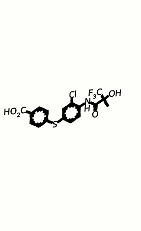 CC(O)(C(=O)Nc1ccc(Sc2ccc(C(=O)O)cc2)cc1Cl)C(F)(F)F